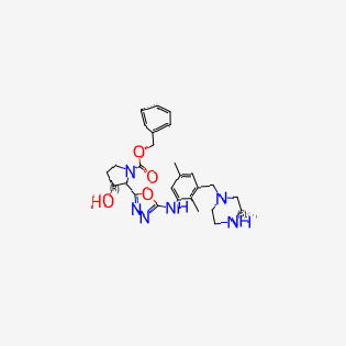 Cc1cc(CN2CCN[C@@H](C)C2)c(C)c(Nc2nnc(C3[C@H](O)CCN3C(=O)OCc3ccccc3)o2)c1